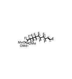 CO[Si](OC)(OC)C(F)C(F)(F)C(F)(F)C(F)(F)C(F)C(F)C(F)C(F)C=CF